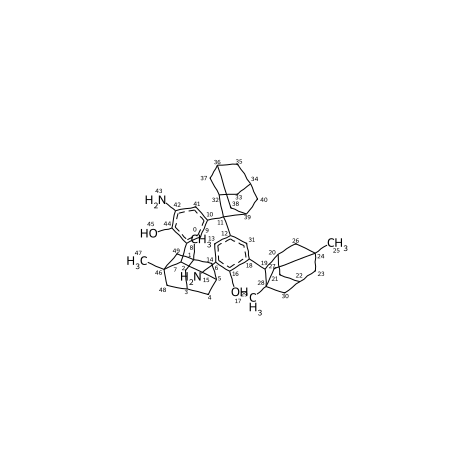 CC12CC3CC(C1)C(c1cc(C4(c5cc(N)c(O)c(C6C7CC8CC(C)(C7)CC6(C)C8)c5)C5CC6CC(C5)CC4C6)cc(N)c1O)C(C)(C3)C2